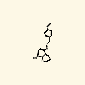 C=Cc1ccc(C/N=N/c2ccc(O)c3ncccc23)cc1